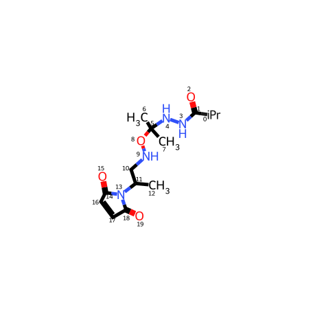 CC(C)C(=O)NNC(C)(C)ONCC(C)N1C(=O)C=CC1=O